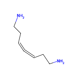 NCCC=C=CCCN